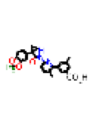 Cc1cc(C(=O)O)cc(-c2nc(NC(=O)C3(c4ccc5c(c4)OC(F)(F)O5)CC3)ccc2C)c1